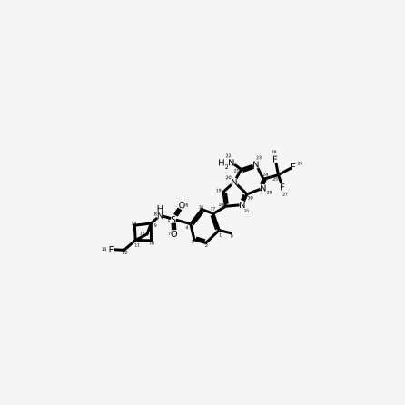 Cc1ccc(S(=O)(=O)NC23CC(CF)(C2)C3)cc1-c1cn2c(N)nc(C(F)(F)F)nc2n1